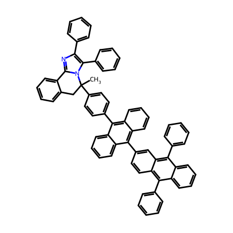 CC1(c2ccc(-c3c4ccccc4c(-c4ccc5c(-c6ccccc6)c6ccccc6c(-c6ccccc6)c5c4)c4ccccc34)cc2)Cc2ccccc2-c2nc(-c3ccccc3)c(-c3ccccc3)n21